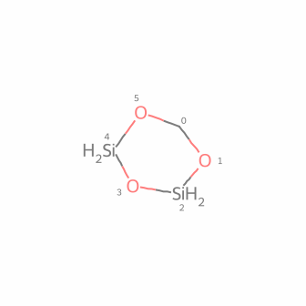 C1O[SiH2]O[SiH2]O1